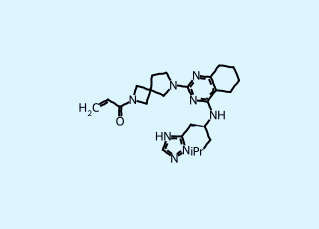 C=CC(=O)N1CC2(CCN(c3nc4c(c(N[C@H](Cc5nnc[nH]5)CC(C)C)n3)CCCC4)C2)C1